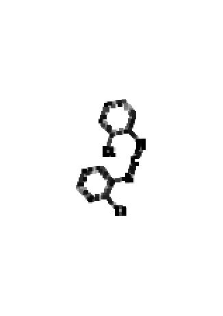 CCc1ccccc1N=C=Nc1ccccc1CC